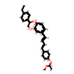 C=Cc1ccc(C(CO)Oc2ccc(C=CC=Cc3ccc(OC(C)OC)cc3)cc2)cc1